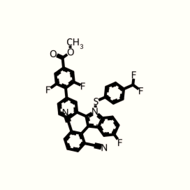 COC(=O)c1cc(F)c(-c2cccc(-c3c(-c4c(C#N)cccc4C#N)c4cc(F)ccc4n3Sc3ccc(C(F)F)cc3)c2)c(F)c1